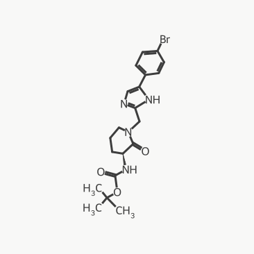 CC(C)(C)OC(=O)N[C@H]1CCCN(Cc2ncc(-c3ccc(Br)cc3)[nH]2)C1=O